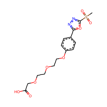 CS(=O)(=O)c1nnc(-c2ccc(OCCOCCOCC(=O)O)cc2)o1